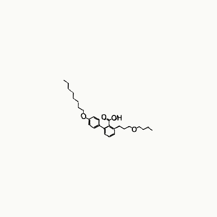 CCCCCCCCOc1ccc(-c2cccc(CCCOCCCC)c2C(=O)O)cc1